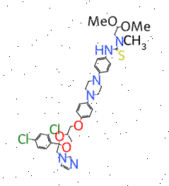 COC(CN(C)C(=S)Nc1ccc(N2CCN(c3ccc(OCC4COC(Cn5ccnc5)(c5ccc(Cl)cc5Cl)O4)cc3)CC2)cc1)OC